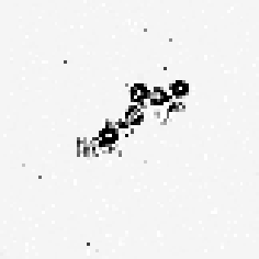 CCC(=O)N(c1ccccc1)C1CCN(c2ccccc2CN2CCN(C(=O)Nc3ccc(C(C)(C)C)cc3)CC2)CC1